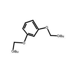 CC(C)COCOc1cccc(OCOCC(C)C)c1